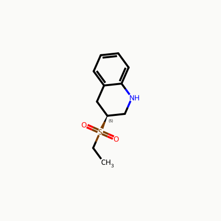 CCS(=O)(=O)[C@@H]1CNc2ccccc2C1